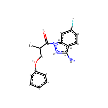 CCC(COc1ccccc1)C(=O)n1nc(N)c2ccc(F)cc21